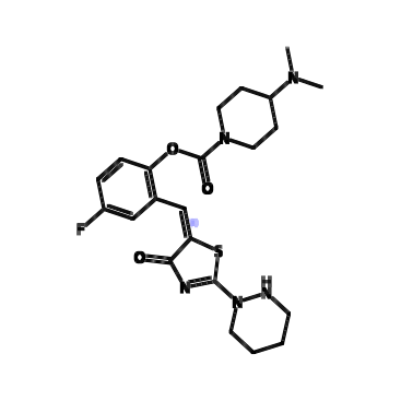 CN(C)C1CCN(C(=O)Oc2ccc(F)cc2/C=C2/SC(N3CCCCN3)=NC2=O)CC1